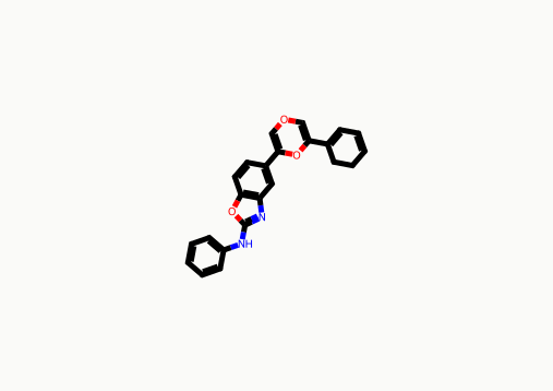 C1=CCCC(C2=COC=C(c3ccc4oc(Nc5ccccc5)nc4c3)O2)=C1